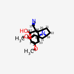 COc1cc(OC)cc(N2C3CCC(=C(C#N)C(=O)O)C2CC3)c1